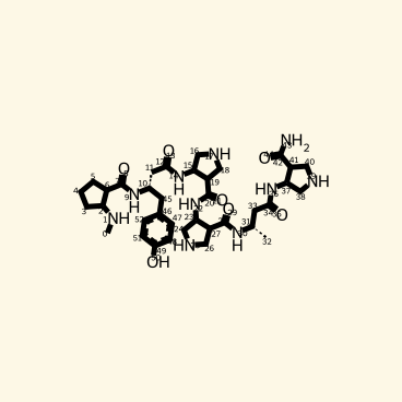 CNC1CCCC1C(=O)N[C@H](CC(=O)NC1CNCC1C(=O)NC1CNCC1C(=O)N[C@@H](C)CC(=O)NC1CNCC1C(N)=O)Cc1ccc(O)cc1